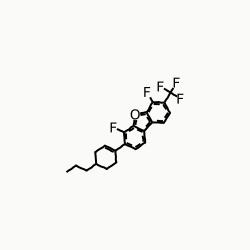 CCCC1CC=C(c2ccc3c(oc4c(F)c(C(F)(F)F)ccc43)c2F)CC1